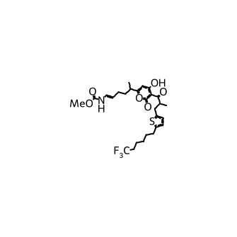 COC(=O)N/C=C/CCC(C)c1cc(O)c(C(=O)C(C)Cc2ccc(CCCCCC(F)(F)F)s2)c(=O)o1